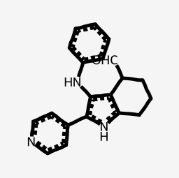 O=CC1CCCc2[nH]c(-c3ccncc3)c(Nc3ccccc3)c21